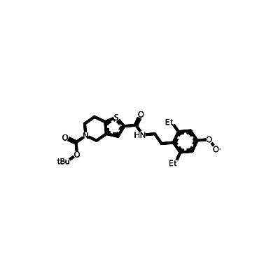 CCc1[c]c(O[O])cc(CC)c1CCNC(=O)c1cc2c(s1)CCN(C(=O)OC(C)(C)C)C2